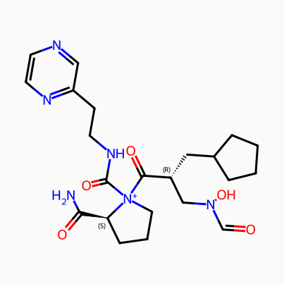 NC(=O)[C@@H]1CCC[N+]1(C(=O)NCCc1cnccn1)C(=O)[C@H](CC1CCCC1)CN(O)C=O